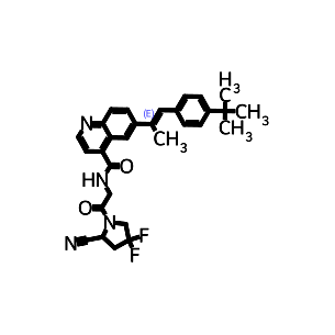 C/C(=C\c1ccc(C(C)(C)C)cc1)c1ccc2nccc(C(=O)NCC(=O)N3CC(F)(F)CC3C#N)c2c1